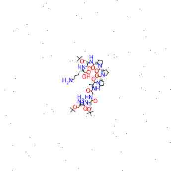 C[C@H](NC(=O)CNC(=O)[C@H](COC(C)(C)C)NC(=O)[C@@H](N)COC(C)(C)C)C(=O)N1CCC[C@H]1C(=O)N1CCC[C@H]1C(=O)N1CCC[C@H]1C(=O)N[C@@H](COC(C)(C)C)C(=O)N[C@@H](CCCCN)C(=O)O